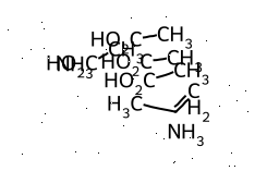 C=CC.CC(=O)O.CC(=O)O.CC(=O)O.CC(=O)O.N.N